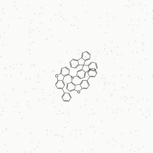 c1ccc(-c2ccc3oc4cccc(N(c5ccc6c(c5)C5(c7ccccc7-c7ccccc75)c5ccccc5-6)c5cccc6oc7ccc(-c8ccccc8)cc7c56)c4c3c2)cc1